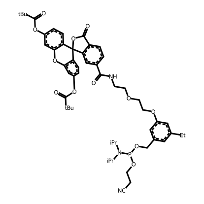 CCc1cc(COP(OCCC#N)N(C(C)C)C(C)C)cc(OCCOCCNC(=O)c2ccc3c(c2)C2(OC3=O)c3ccc(OC(=O)C(C)(C)C)cc3Oc3cc(OC(=O)C(C)(C)C)ccc32)c1